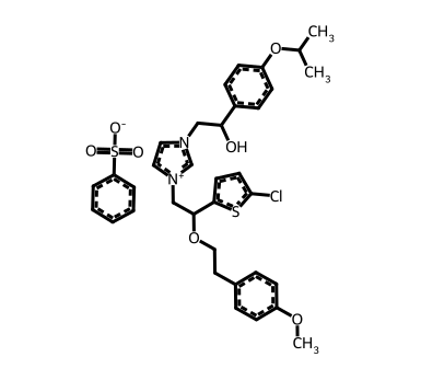 COc1ccc(CCOC(C[n+]2ccn(CC(O)c3ccc(OC(C)C)cc3)c2)c2ccc(Cl)s2)cc1.O=S(=O)([O-])c1ccccc1